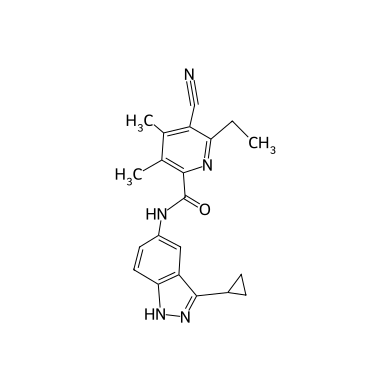 CCc1nc(C(=O)Nc2ccc3[nH]nc(C4CC4)c3c2)c(C)c(C)c1C#N